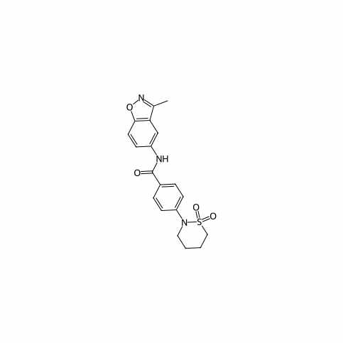 Cc1noc2ccc(NC(=O)c3ccc(N4CCCCS4(=O)=O)cc3)cc12